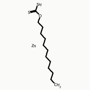 CCCCCCCCCCCCOC(=S)S.[Zn]